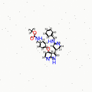 CC(C)(C)OC(=O)NCc1ccc(Oc2ccnc3[nH]cc(-c4ccnc(NCc5ccccc5)c4)c23)cc1